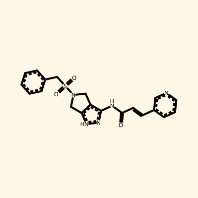 O=C(C=Cc1cccnc1)Nc1n[nH]c2c1CN(S(=O)(=O)Cc1ccccc1)C2